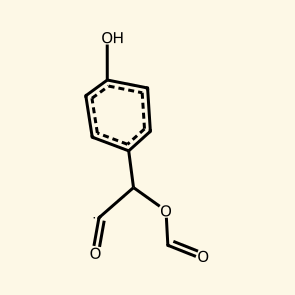 O=[C]C(OC=O)c1ccc(O)cc1